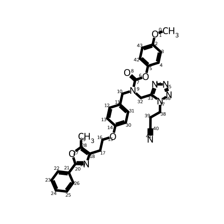 COc1ccc(OC(=O)N(Cc2ccc(OCCc3nc(-c4ccccc4)oc3C)cc2)Cc2nnnn2CCC#N)cc1